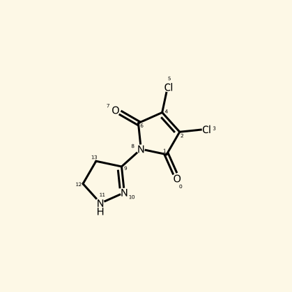 O=C1C(Cl)=C(Cl)C(=O)N1C1=NNCC1